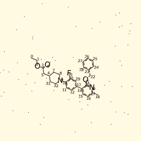 CCOC(=O)CC1CCN(c2ccc(-c3ccc(C)nc3OCc3ccccc3)cc2F)CC1